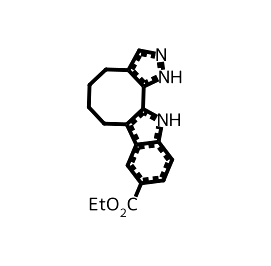 CCOC(=O)c1ccc2[nH]c3c(c2c1)CCCCc1cn[nH]c1-3